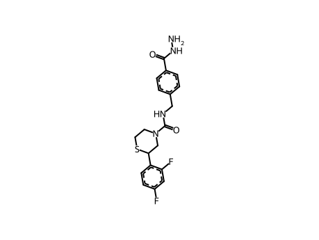 NNC(=O)c1ccc(CNC(=O)N2CCSC(c3ccc(F)cc3F)C2)cc1